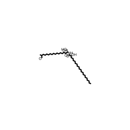 CCCCCCCCCCCCCCCCCCCC[C@@H](O)C(=O)N[C@H](CO)[C@H](O)C(O)CCCCCCCCCCCCC(C)C=O